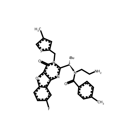 CC[C@@H](C)[C@H](c1nc2c(oc3ccc(F)cc32)c(=O)n1Cc1cc(C)cs1)N(CCN)C(=O)c1ccc(C)cc1